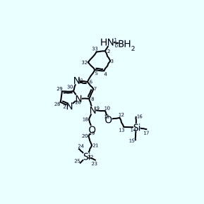 BNC1CC=C(c2cc(N(COCC[Si](C)(C)C)COCC[Si](C)(C)C)n3nccc3n2)CC1